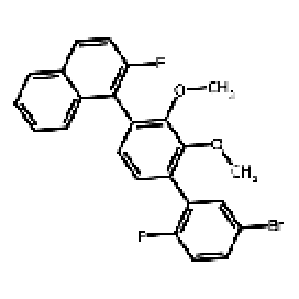 COc1c(-c2cc(Br)ccc2F)ccc(-c2c(F)ccc3ccccc23)c1OC